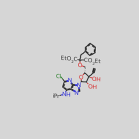 C#C[C@@]1(O)[C@@H](COC(Cc2ccccc2)(C(=O)OCC)C(=O)OCC)O[C@@H](n2cnc3c(NC(C)C)cc(Cl)nc32)[C@@H]1O